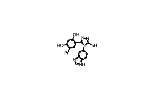 CC(C)c1cc(-c2nnc(S)n2-c2ccc3[nH]cnc3c2)c(O)cc1O